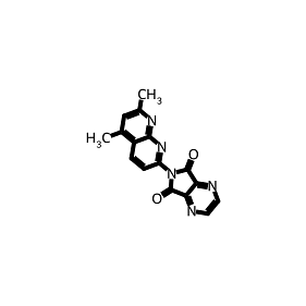 Cc1cc(C)c2ccc(N3C(=O)c4nccnc4C3=O)nc2n1